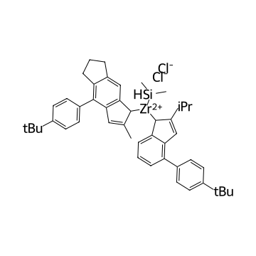 CC1=Cc2c(cc3c(c2-c2ccc(C(C)(C)C)cc2)CCC3)[CH]1[Zr+2]([CH]1C(C(C)C)=Cc2c(-c3ccc(C(C)(C)C)cc3)cccc21)[SiH](C)C.[Cl-].[Cl-]